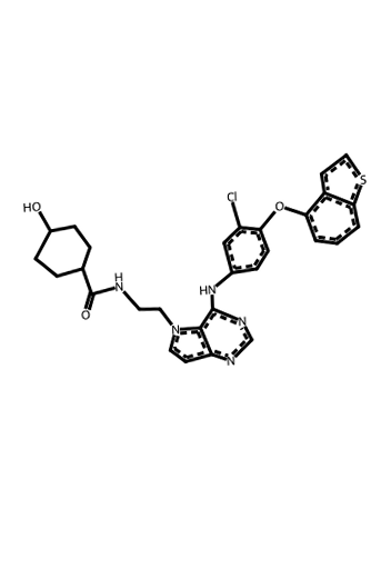 O=C(NCCn1ccc2ncnc(Nc3ccc(Oc4cccc5sccc45)c(Cl)c3)c21)C1CCC(O)CC1